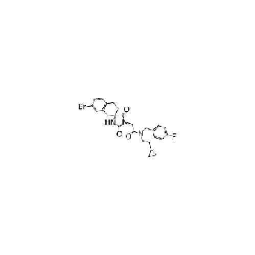 O=C(CN1C(=O)NC2(CCc3ccc(Br)cc3C2)C1=O)N(CCC1CC1)Cc1ccc(F)cc1